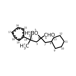 CC(C)(CC(O)(C=O)CC1CCCCC1)c1ccccc1